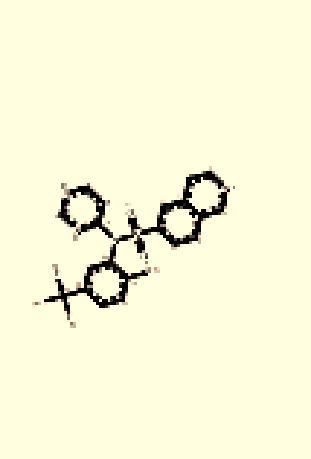 O=S(=O)(c1ccc2cnccc2c1)N(c1ccncn1)c1cc(C(F)(F)F)ccc1F